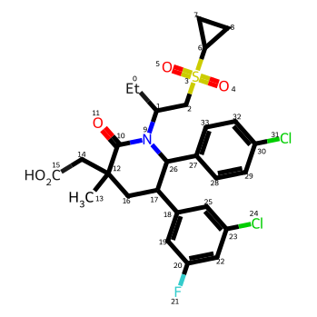 CCC(CS(=O)(=O)C1CC1)N1C(=O)C(C)(CC(=O)O)CC(c2cc(F)cc(Cl)c2)C1c1ccc(Cl)cc1